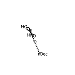 CCCCCCCCCCCCCCCCCCOCCCC(=O)NCCOc1ccc(O)cc1